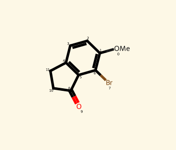 COc1ccc2c(c1Br)C(=O)CC2